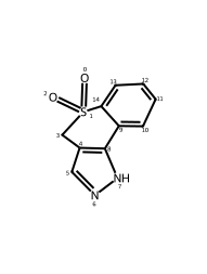 O=S1(=O)Cc2cn[nH]c2-c2ccccc21